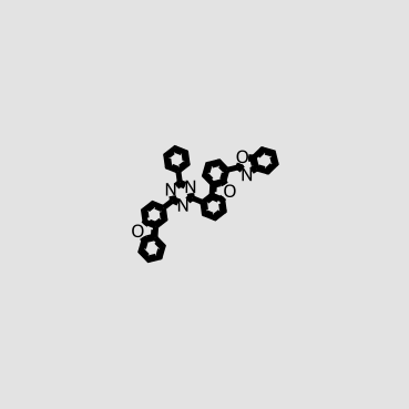 c1ccc(-c2nc(-c3ccc4oc5ccccc5c4c3)nc(-c3cccc4oc5c(-c6nc7ccccc7o6)cccc5c34)n2)cc1